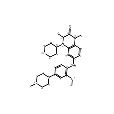 COc1cc(N2CCN(C)CC2)ccc1Nc1ccc2c(n1)N(C1CCOCC1)C(C)C(=O)N2C